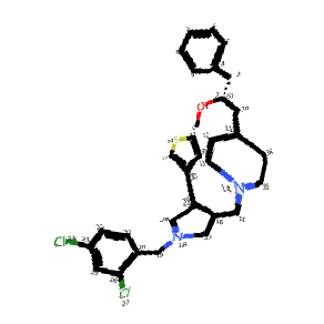 CO[C@H](Cc1ccccc1)CC1CCN(CC2CN(Cc3ccc(Cl)cc3Cl)CC2c2ccsc2)CC1